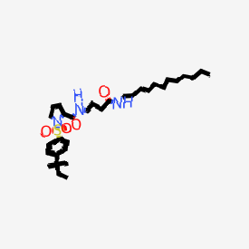 CCCCCCCCCCCCNC(=O)CCCNC(=O)C1CCCN1S(=O)(=O)c1ccc(C(C)(C)CC)cc1